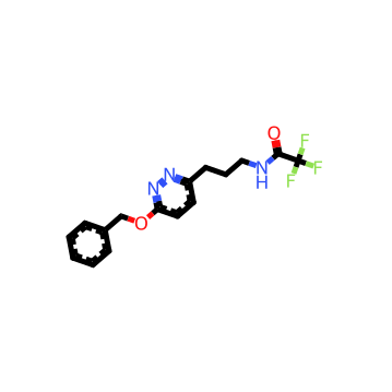 O=C(NCCCc1ccc(OCc2ccccc2)nn1)C(F)(F)F